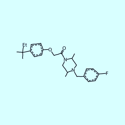 CCC(C)(C)c1ccc(OCC(=O)N2CC(C)N(Cc3ccc(F)cc3)CC2C)cc1